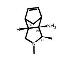 C[C@H]1N(C)C[C@@H]2C3C=CC(C3)[C@@]21N